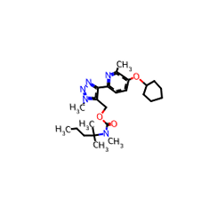 CCCC(C)(C)N(C)C(=O)OCc1c(-c2ccc(OC3CCCCC3)c(C)n2)nnn1C